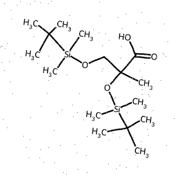 CC(CO[Si](C)(C)C(C)(C)C)(O[Si](C)(C)C(C)(C)C)C(=O)O